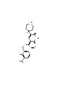 C[C@@H](Nc1ncnc2c1cc(C1(F)CCP(C)(=O)CC1)c(=O)n2C)c1cccc(C(F)F)c1F